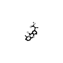 COC(=O)C(C)c1ccc2nc3cccc(C)n3c(=O)c2c1